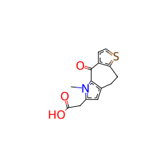 Cn1c(CC(=O)O)cc2c1C(=O)c1ccsc1CC2